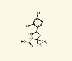 CC1(C)SC(c2ccc(Cl)cc2Cl)N[C@H]1C(=O)O